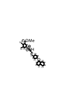 COC(=O)c1cc(S(=O)(=O)NCCSc2ccc(Oc3cccc4ccccc34)cc2)cc(C)c1C